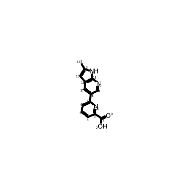 O=C(O)c1cccc(-c2cnc3[nH]c(I)cc3c2)n1